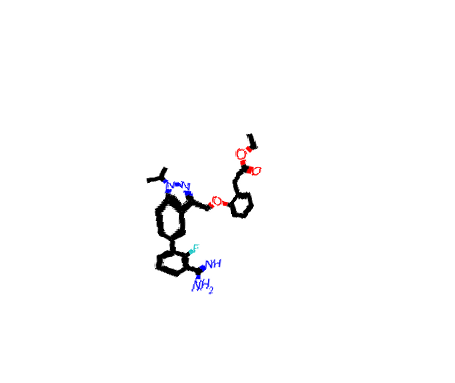 CCOC(=O)Cc1ccccc1OCc1nn(C(C)C)c2ccc(-c3cccc(C(=N)N)c3F)cc12